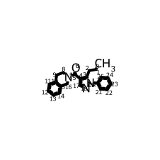 CCCc1c(C(=O)N2CCc3ccccc3C2)cnn1-c1ccccc1